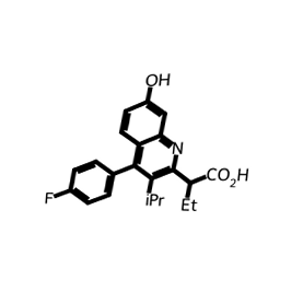 CCC(C(=O)O)c1nc2cc(O)ccc2c(-c2ccc(F)cc2)c1C(C)C